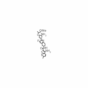 COCC(C)OC1CN(c2nc3c(cc2F)CC(NC(=O)c2sc4nc(C)ccc4c2N)CC3)CC1N